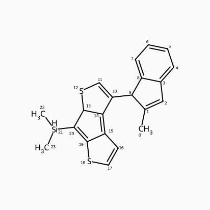 CC1=Cc2ccccc2C1C1=CSC2C1=c1ccsc1=C2[SiH](C)C